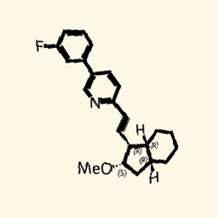 CO[C@H]1C[C@H]2CCCC[C@H]2[C@@H]1C=Cc1ccc(-c2cccc(F)c2)cn1